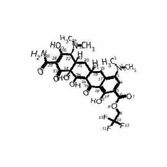 CN(C)c1cc(C(=O)OCC(F)(F)F)c(O)c2c1C[C@H]1C[C@H]3[C@H](N(C)C)C(O)=C(C(N)=O)C(=O)[C@@]3(O)C(O)=C1C2=O